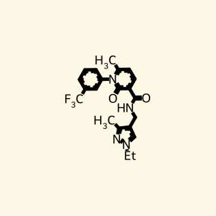 CCn1cc(CNC(=O)c2ccc(C)n(-c3cccc(C(F)(F)F)c3)c2=O)c(C)n1